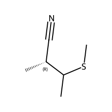 CSC(C)[C@H](C)C#N